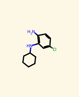 Nc1ccc(Cl)cc1NC1CCCCC1